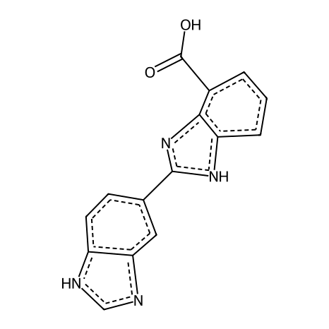 O=C(O)c1cccc2[nH]c(-c3ccc4[nH]cnc4c3)nc12